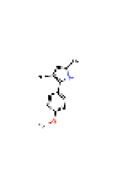 N#Cc1cc(C#N)c(-c2ccc(OC(F)(F)F)cc2)[nH]1